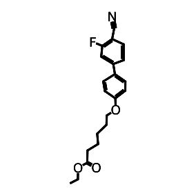 CCOC(=O)CCCCCOc1ccc(-c2ccc(C#N)c(F)c2)cc1